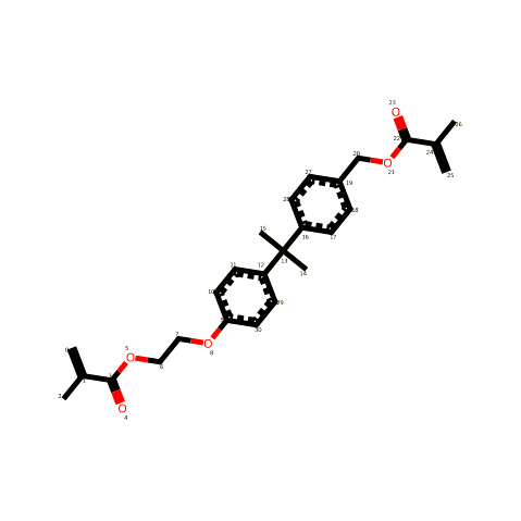 C=C(C)C(=O)OCCOc1ccc(C(C)(C)c2ccc(COC(=O)C(=C)C)cc2)cc1